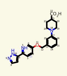 C=C(/C=C\C(=N)c1ccn[nH]1)OCc1cccc(N2CCC(C(=O)O)CC2)c1